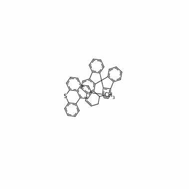 CC1CC=Cc2ccc3c(c21)C1(c2ccccc2-c2cccc(-c4cc5c6c(cccc6c4)Sc4ccccc4-5)c21)c1ccccc1-3